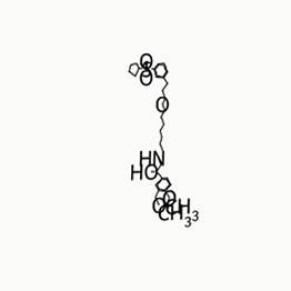 CC1(C)OCc2cc([C@@H](O)CNCCCCCCCOCCCc3cccc(S(=O)(=O)C4CCCC4)c3)ccc2O1